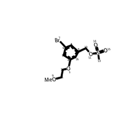 COCCOc1cc(Br)cc(COS(C)(=O)=O)c1